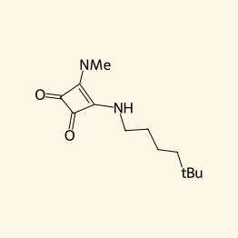 CNc1c(NCCCCC(C)(C)C)c(=O)c1=O